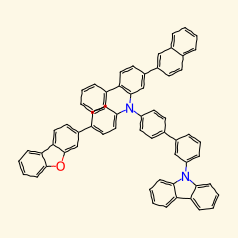 c1ccc(-c2ccc(-c3ccc4ccccc4c3)cc2N(c2ccc(-c3cccc(-n4c5ccccc5c5ccccc54)c3)cc2)c2ccc(-c3ccc4c(c3)oc3ccccc34)cc2)cc1